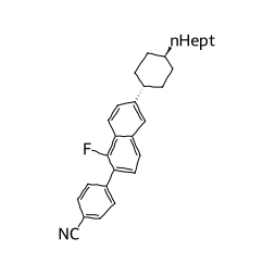 CCCCCCC[C@H]1CC[C@H](c2ccc3c(F)c(-c4ccc(C#N)cc4)ccc3c2)CC1